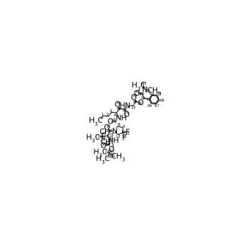 CCCCC(NC(=O)[C@@H]1CC(F)(F)CN1C(=O)[C@@H](NC(=O)OC(C)(C)C)C(C)(C)C)C(=O)C(=O)NCC(=O)O[C@H](C(=O)N(C)C)c1ccccc1